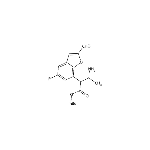 CCCCOC(=O)C(c1cc(F)cc2cc(C=O)oc12)C(C)N